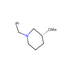 CO[C@@H]1CCCN(CC(C)C)C1